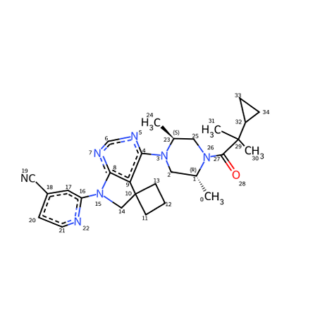 C[C@@H]1CN(c2ncnc3c2C2(CCC2)CN3c2cc(C#N)ccn2)[C@@H](C)CN1C(=O)C(C)(C)C1CC1